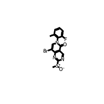 Cc1cccc(F)c1-n1cc(Br)c2nc([S+](C)[O-])ncc2c1=O